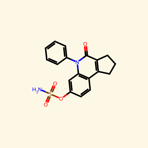 NS(=O)(=O)Oc1ccc2c3c(c(=O)n(-c4ccccc4)c2c1)CCC3